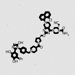 CC(C)c1cc(-c2nnc(O)n2-c2ccc(CN3CCC(C(=O)N4CC[C@@H](COc5nc6c(c(N7CCN(C(N)=O)[C@@H](CC#N)C7)n5)CCN(c5cccc7cccc(Cl)c57)C6)C4)CC3)cc2)c(O)cc1O